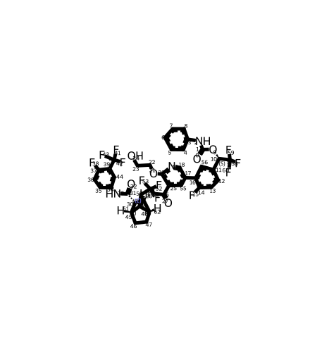 O=C(Nc1ccccc1)O[C@@H](c1ccc(F)c(-c2cnc(OCCO)c(C(=O)N[C@H]3[C@@H](C(=O)Nc4ccc(F)c(C(F)(F)F)c4)[C@H]4CC[C@@H]3/C4=C\C(F)(F)F)c2)c1)C(F)(F)F